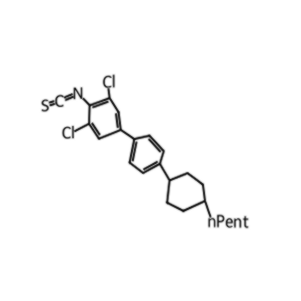 CCCCCC1CCC(c2ccc(-c3cc(Cl)c(N=C=S)c(Cl)c3)cc2)CC1